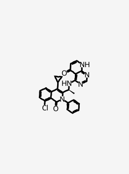 C[C@H](Nc1ncnc2[nH]ccc(=O)c12)c1c(C2CC2)c2cccc(Cl)c2c(=O)n1-c1ccccc1